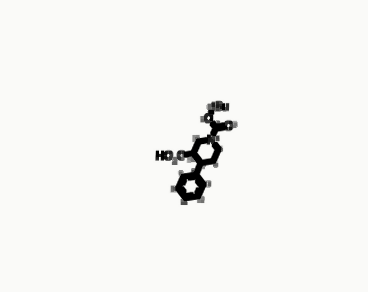 CC(C)(C)OC(=O)N1CCC(c2ccccc2)C(C(=O)O)C1